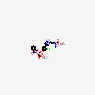 C[n+]1cc(-c2ccc(OC[C@H](ON3C(=O)c4ccccc4C3=O)C(=O)OC(C)(C)C)cc2Cl)cn1CCCNC(=O)OC(C)(C)C.[I-]